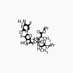 CC(C)OC(=O)[C@H](C)NP(=O)(N[C@@H](C)C(=O)OC(C)C)OC[C@@]1(C(F)F)O[C@@H](n2cc(F)c(N)nc2=O)[C@H](F)[C@@H]1O